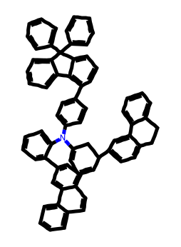 C1=CC(c2ccc3c(c2)-c2ccccc2CC3)CC(N(c2ccc(-c3cccc4c3-c3ccccc3C4(c3ccccc3)c3ccccc3)cc2)c2ccccc2-c2ccc3ccc4ccccc4c3c2)=C1